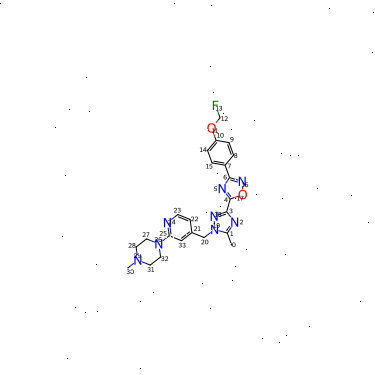 Cc1nc(-c2nc(-c3ccc(OCF)cc3)no2)nn1Cc1ccnc(N2CCN(C)CC2)c1